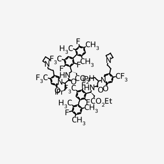 CCOC(=O)C[C@H](NC(=O)C(CC(C)C)n1cc(CCN2CCC2)c(C(F)(F)F)cc1=O)c1c(F)c(-c2c(C)cc(C)c(F)c2C)cc(C(F)(F)F)c1F.Cc1cc(C)c(-c2cc(C(F)(F)F)c(F)c([C@H](CC(=O)O)NC(=O)C(CC(C)C)n3cc(CCN4CCC4)c(C(F)(F)F)cc3=O)c2F)c(C)c1F